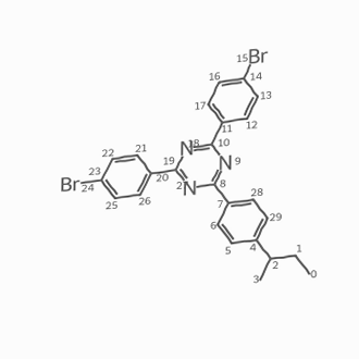 CCC(C)c1ccc(-c2nc(-c3ccc(Br)cc3)nc(-c3ccc(Br)cc3)n2)cc1